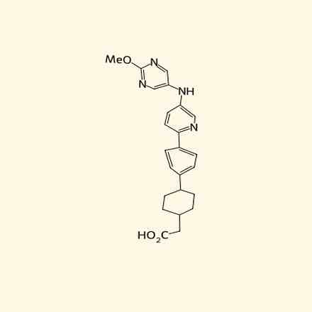 COc1ncc(Nc2ccc(-c3ccc(C4CCC(CC(=O)O)CC4)cc3)nc2)cn1